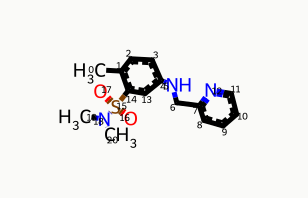 Cc1ccc(NCc2ccccn2)cc1S(=O)(=O)N(C)C